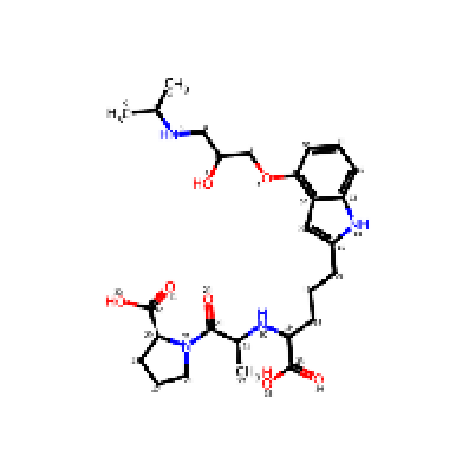 CC(C)NCC(O)COc1cccc2[nH]c(CCCC(N[C@@H](C)C(=O)N3CCC[C@H]3C(=O)O)C(=O)O)cc12